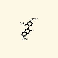 CCCCCc1ccc(-c2cc3cnc(OC)cc3oc2=O)c(OC(F)(F)F)c1